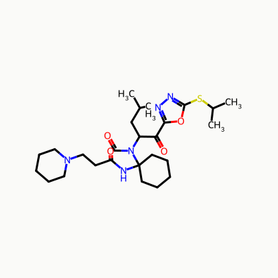 CC(C)CC(C(=O)c1nnc(SC(C)C)o1)N(C=O)C1(NC(=O)CCN2CCCCC2)CCCCC1